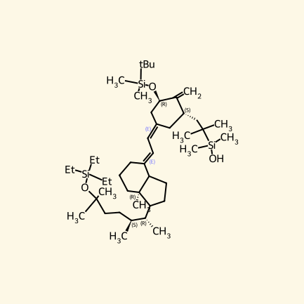 C=C1[C@H](CC(C)(C)[Si](C)(C)O)C/C(=C\C=C2/CCC[C@@]3(C)C2CCC3[C@H](C)[C@@H](C)CCC(C)(C)O[Si](CC)(CC)CC)C[C@H]1O[Si](C)(C)C(C)(C)C